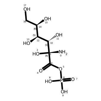 N[C@](O)(C(=O)OP(=O)(O)O)[C@@H](O)[C@@H](O)[C@H](O)CO